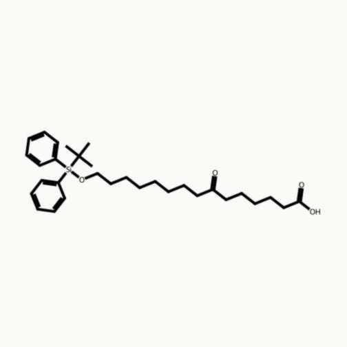 CC(C)(C)[Si](OCCCCCCCCC(=O)CCCCCC(=O)O)(c1ccccc1)c1ccccc1